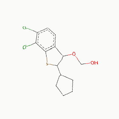 OCOC1c2ccc(Cl)c(Cl)c2SC1C1CCCC1